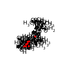 CC[C@H](C)[C@H](NC(=O)[C@H](C)NC(=O)[C@@H](N)C(C)C)C(=O)N[C@@H](CCC(N)=O)C(=O)N1CCC[C@H]1C(=O)N1CCC[C@H]1C(=O)N1CCC[C@H]1C(=O)N[C@H](C(=O)N[C@H](C(=O)N[C@H](C(=O)N[C@H](C(=O)N[C@@H](CC(C)C)C(=O)N1CCC[C@H]1C(=O)NCC(=O)N1CCC[C@H]1C(=O)N[C@H](C(=O)N[C@@H](CC(C)C)C(=O)N[C@@H](CO)C(=O)O)[C@@H](C)CC)[C@@H](C)O)C(C)C)C(C)C)C(C)C